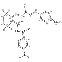 CN(C)c1ccc(C(=O)Nc2cc(C(=O)/C=C/c3ccc(C(=O)O)cc3)cc3c2C(C)(C)CCC3(C)C)cc1